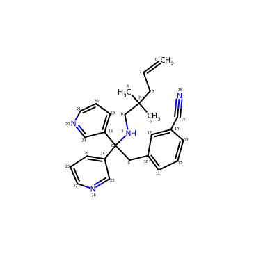 C=CCC(C)(C)CNC(Cc1cccc(C#N)c1)(c1cccnc1)c1cccnc1